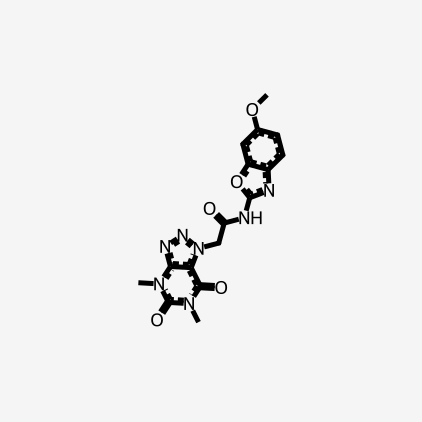 COc1ccc2nc(NC(=O)Cn3nnc4c3c(=O)n(C)c(=O)n4C)oc2c1